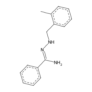 Cc1ccccc1CN/N=C(\N)c1ccccc1